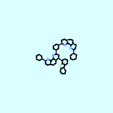 c1ccc(-c2ccc3ccc4ccc(-c5cccc(-c6cc(-c7cccc8c7sc7ccccc78)c7ccc8ccc(-c9ccccc9)nc8c7n6)c5)nc4c3n2)cc1